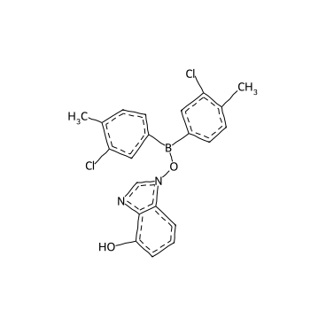 Cc1ccc(B(On2cnc3c(O)cccc32)c2ccc(C)c(Cl)c2)cc1Cl